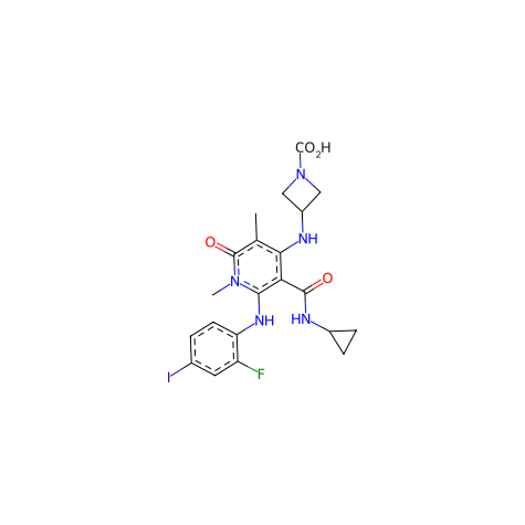 Cc1c(NC2CN(C(=O)O)C2)c(C(=O)NC2CC2)c(Nc2ccc(I)cc2F)n(C)c1=O